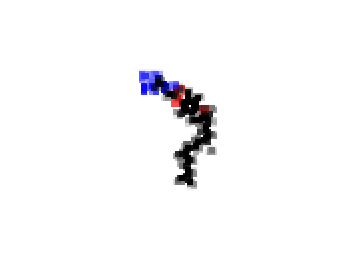 Cc1c(C)c2c(c(C)c1OC(=O)CNC(=N)N)CC[C@@](C)(CCC[C@H](C)CCC[C@H](C)CCCC(C)C)O2